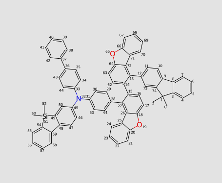 CC1(C)c2ccccc2-c2ccc(-c3c(-c4ccc5oc6ccccc6c5c4-c4ccc(N(c5ccc(-c6ccccc6)cc5)c5ccc6c(c5)[Si](C)(C)c5ccccc5-6)cc4)ccc4oc5ccccc5c34)cc21